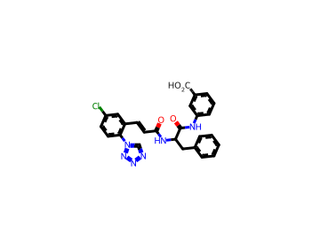 O=C(C=Cc1cc(Cl)ccc1-n1cnnn1)NC(Cc1ccccc1)C(=O)Nc1cccc(C(=O)O)c1